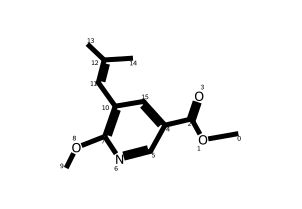 COC(=O)c1cnc(OC)c(C=C(C)C)c1